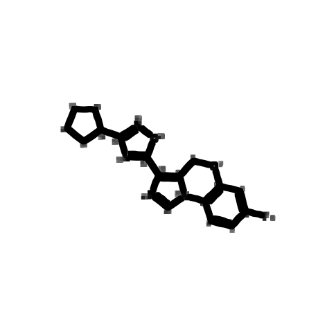 Fc1ccc2c(c1)OCc1c(-c3nc(C4CCCC4)no3)ncn1-2